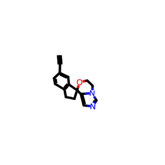 C#Cc1ccc2c(c1)C1(CC2)OCCn2cncc21